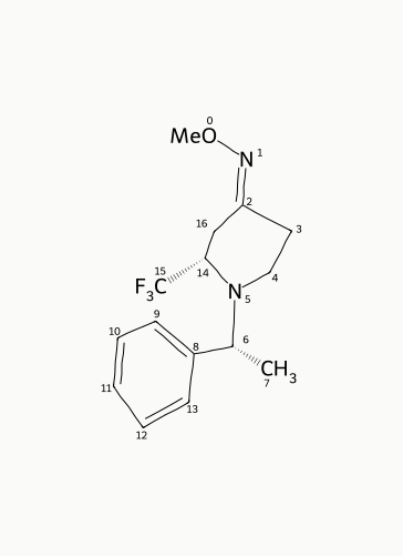 CO/N=C1/CCN([C@H](C)c2ccccc2)[C@H](C(F)(F)F)C1